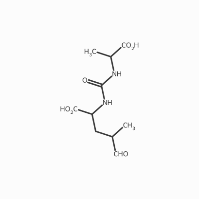 CC(C=O)CC(NC(=O)NC(C)C(=O)O)C(=O)O